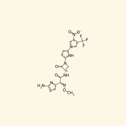 CON=C(C(=O)N[C@H]1CN(c2ccc(-n3cc([N+](=O)[O-])c(C(F)(F)F)c3)[nH]2)C1=O)c1csc(N)n1